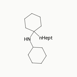 CCCCCCCC1(NC2CCCCC2)CCCCC1